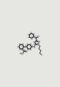 CCCCCn1nc(C(=O)c2ccccc2)nc1Cc1ccc(-c2ccccc2C(=O)O)cc1